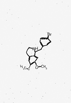 COc1cc2c(cc1OC)C(Cc1ccc(Br)cc1)NCC2